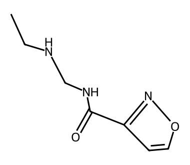 CCNCNC(=O)c1ccon1